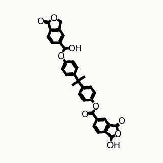 CC(C)(c1ccc(OC(=O)c2ccc3c(c2)C(=O)OC3O)cc1)c1ccc(OC(O)c2ccc3c(c2)COC3=O)cc1